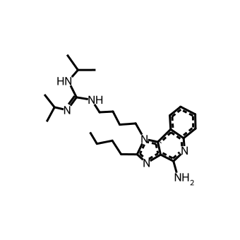 CCCCc1nc2c(N)nc3ccccc3c2n1CCCCNC(=NC(C)C)NC(C)C